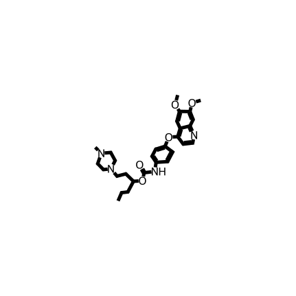 CCCC(CCN1CCN(C)CC1)OC(=O)Nc1ccc(Oc2ccnc3cc(OC)c(OC)cc23)cc1